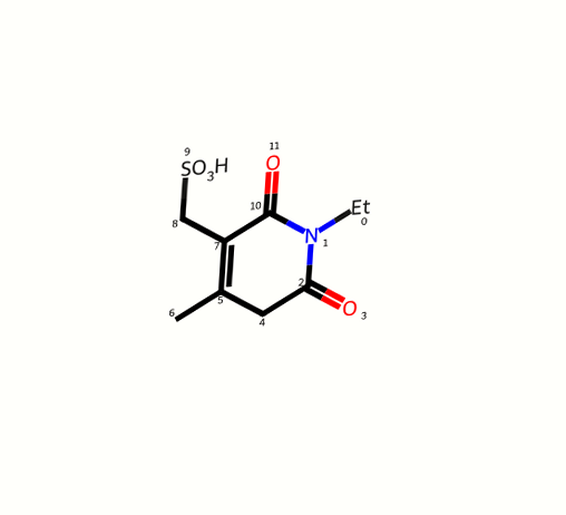 CCN1C(=O)CC(C)=C(CS(=O)(=O)O)C1=O